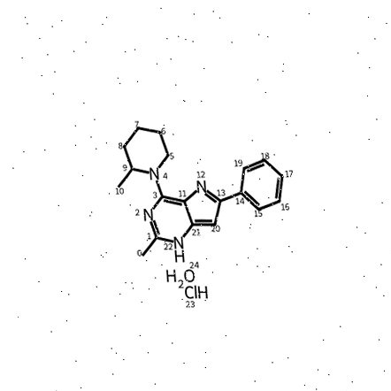 Cc1nc(N2CCCCC2C)c2nc(-c3ccccc3)cc-2[nH]1.Cl.O